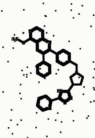 COc1nccc2nc(-c3ccc(CN4CCC(c5nnc(-c6ccccn6)[nH]5)C4)cc3)c(-c3ccccc3)cc12